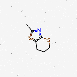 Cc1nc2c(s1)CCCS2